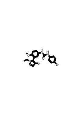 CCn1ncc(Br)c1-c1cc(NC(=O)Nc2ccc(Br)cc2)ccc1OC